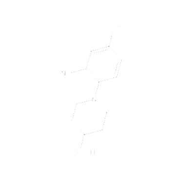 N#Cc1cc(C(F)(F)F)ccc1N1CCC(C(=O)O)CC1